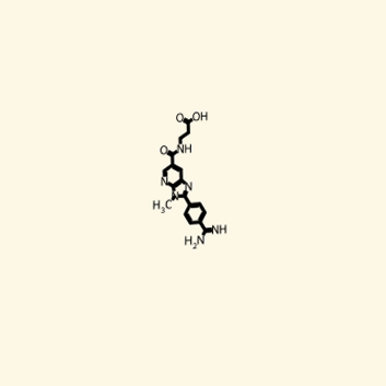 Cn1c(-c2ccc(C(=N)N)cc2)nc2cc(C(=O)NCCC(=O)O)cnc21